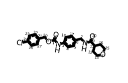 O=C(Nc1ccc(CNC(=O)C2CCOCC2)cc1)OCc1ccc(Cl)cc1